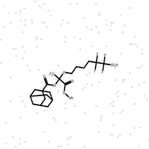 CCCOC(=O)C(OCCCCC(F)(F)C(F)(F)S(=O)(=O)O)(OC(=O)C12CC3CC(CC(C3)C1)C2)C(F)(F)F